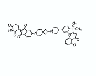 CC1(C)c2ccc(C3CCN(C4CC5(CCN(c6ccc7c(c6)C(=O)N(C6CCC(=O)NC6=O)C7=O)CC5)C4)CC3)cc2-n2c1nc(=O)c1c(Cl)cccc12